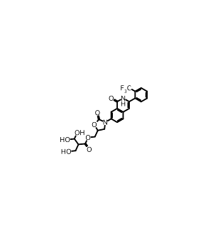 O=C(OCC1CN(c2ccc3cc(-c4ccccc4C(F)(F)F)[nH]c(=O)c3c2)C(=O)O1)C(CO)C(O)O